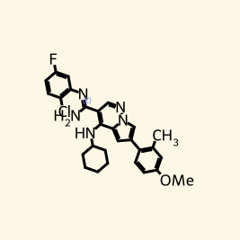 COc1ccc(-c2cc3c(NC4CCCCC4)c(/C(N)=N/c4cc(F)ccc4Cl)cnn3c2)c(C)c1